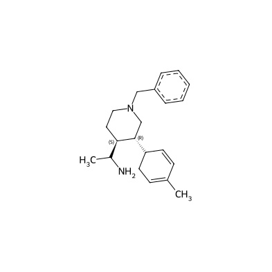 CC1=CCC([C@H]2CN(Cc3ccccc3)CC[C@@H]2C(C)N)C=C1